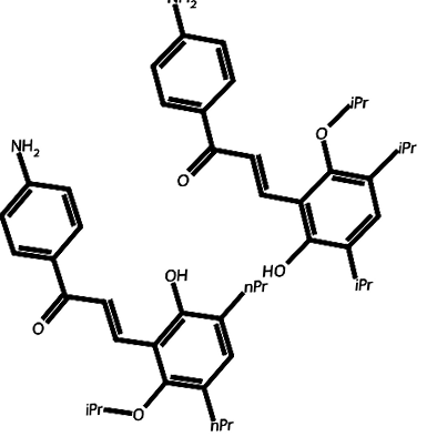 CC(C)Oc1c(C(C)C)cc(C(C)C)c(O)c1C=CC(=O)c1ccc(N)cc1.CCCc1cc(CCC)c(OC(C)C)c(C=CC(=O)c2ccc(N)cc2)c1O